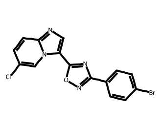 Clc1ccc2ncc(-c3nc(-c4ccc(Br)cc4)no3)n2c1